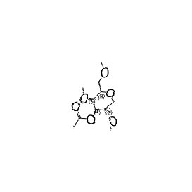 COC[C@H]1OC[C@H](OC)[C@@H](OC(C)=O)[C@H]1OC